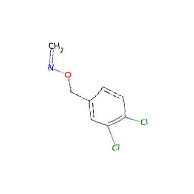 C=NOCc1ccc(Cl)c(Cl)c1